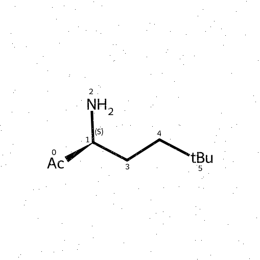 CC(=O)[C@@H](N)CCC(C)(C)C